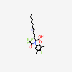 CCCCC/C=C/CCCC(C(=O)O)N(C(=O)C(F)(F)F)c1cc(C)c(F)c(C)c1